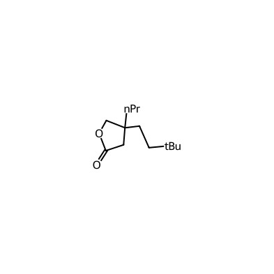 CCCC1(CCC(C)(C)C)COC(=O)C1